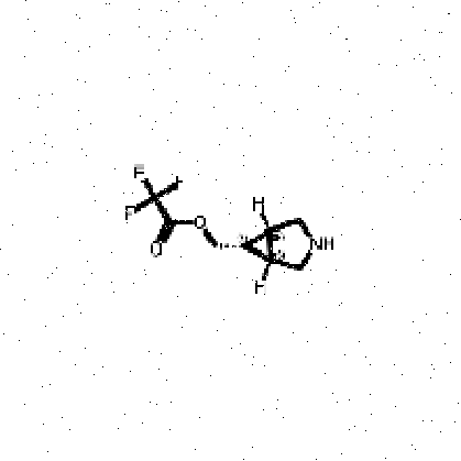 O=C(OC[C@@H]1[C@@H]2CNC[C@@H]21)C(F)(F)F